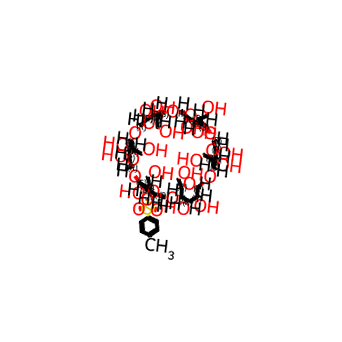 Cc1ccc(S(=O)(=O)O[C@H]2[C@H]3O[C@H]4[C@H](O)[C@@H](O)[C@@H](O[C@H]5[C@H](O)[C@@H](O)[C@@H](O[C@H]6[C@H](O)[C@@H](O)[C@@H](O[C@H]7[C@H](O)[C@@H](O)[C@@H](O[C@H]8[C@H](O)[C@@H](O)[C@@H](O[C@@H]([C@@H]2O)[C@@H](CO)O3)O[C@@H]8CO)O[C@@H]7CO)O[C@@H]6CO)O[C@@H]5CO)O[C@@H]4CO)cc1